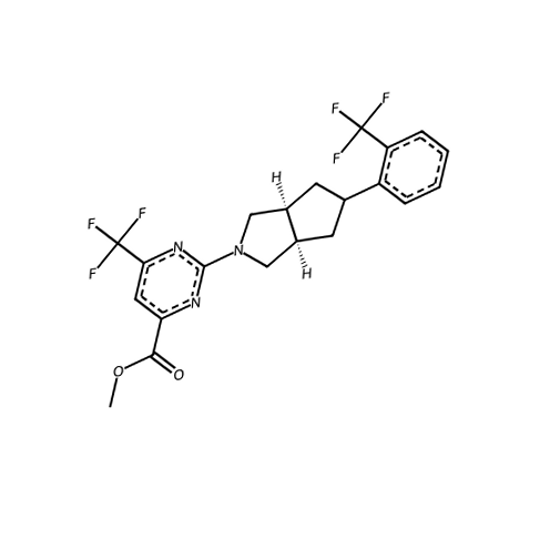 COC(=O)c1cc(C(F)(F)F)nc(N2C[C@H]3CC(c4ccccc4C(F)(F)F)C[C@H]3C2)n1